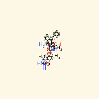 Cc1ccc(N2CCNNC2=O)c(C)c1OCC(=O)N[C@H](C(=O)[C@@H](CCCCc1ccccc1)C(N)c1ccccc1)C(C)(C)O